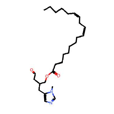 CCCCC/C=C\C/C=C\CCCCCCCC(=O)OCC(CC=O)Cc1cncn1C